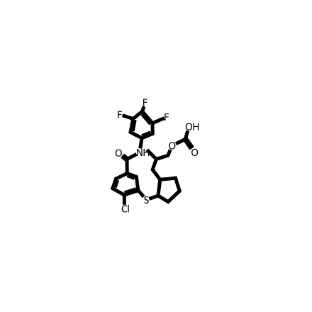 CC(COC(=O)O)CC1CCCC1Sc1cc(C(=O)Nc2cc(F)c(F)c(F)c2)ccc1Cl